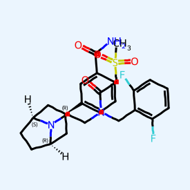 CS(=O)(=O)CC(=O)N(CCN1[C@@H]2CC[C@H]1C[C@@H](c1cccc(C(N)=O)c1)C2)Cc1c(F)cccc1F